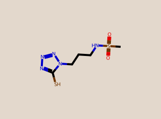 CS(=O)(=O)NCCCn1nnnc1S